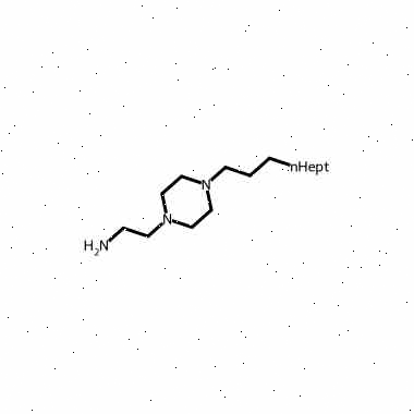 CCCCCCCCCCN1CCN(CCN)CC1